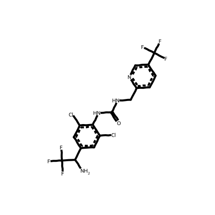 NC(c1cc(Cl)c(NC(=O)NCc2ccc(C(F)(F)F)cn2)c(Cl)c1)C(F)(F)F